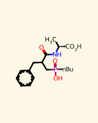 CCCCP(=O)(O)CC(Cc1ccccc1)C(=O)N[C@@H](C)C(=O)O